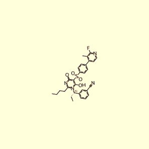 CCCCc1nc(=O)c(S(=O)(=O)c2ccc(-c3ccnc(F)c3C)cc2)c(O)n1[C@@H](CC)c1cccc(C#N)c1